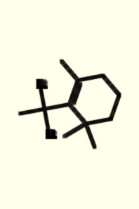 CCC(C)(CC)C1=C(C)CCCC1(C)C